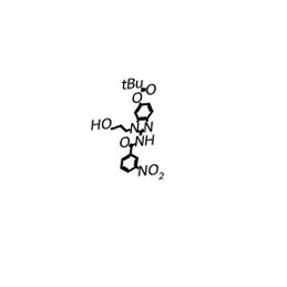 CC(C)(C)C(=O)Oc1ccc2nc(NC(=O)c3cccc([N+](=O)[O-])c3)n(CCCO)c2c1